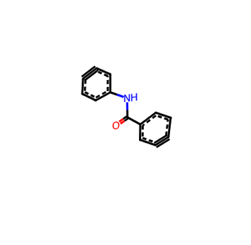 O=C(Nc1cc#ccc1)c1cc#ccc1